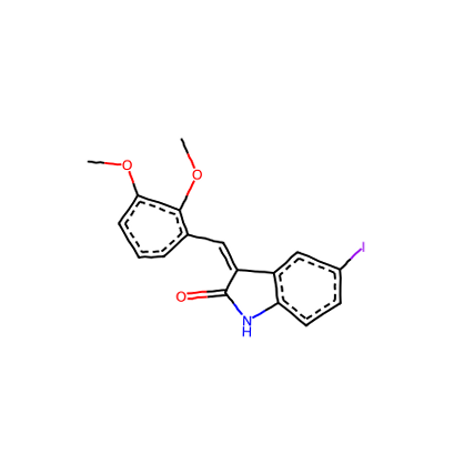 COc1cccc(C=C2C(=O)Nc3ccc(I)cc32)c1OC